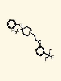 CC1(Oc2ccccc2)CCN(CCOc2cccc(C(F)(F)F)c2)CC1